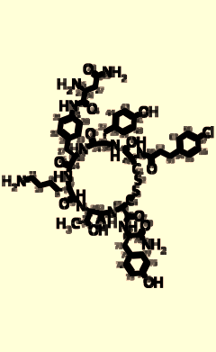 C[C@@H](O)[C@@H]1NC(=O)[C@H](CCCCN)NC(=O)[C@@H](Cc2ccc(NC(=O)[C@@H](N)CC(N)=O)cc2)NC(=O)[C@H](Cc2ccc(O)cc2)NC(=O)[C@H](NC(=O)CCc2ccc(Cl)cc2)CSSC[C@@H](C(=O)N[C@H](Cc2ccc(O)cc2)C(N)=O)NC1=O